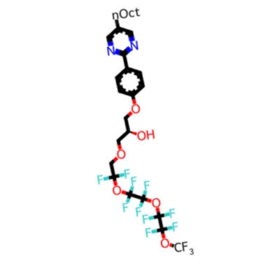 CCCCCCCCc1cnc(-c2ccc(OC[C@@H](O)COCC(F)(F)OC(F)(F)C(F)(F)OC(F)(F)C(F)(F)OC(F)(F)F)cc2)nc1